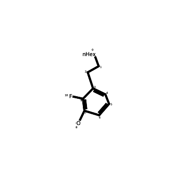 CCCCCCCCc1cccc([O])c1F